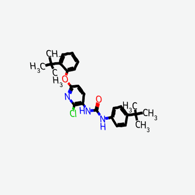 CC(C)(C)c1ccc(NC(=O)Nc2ccc(Oc3ccccc3C(C)(C)C)nc2Cl)cc1